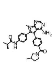 C=C(C)C(=O)Nc1ccc(-c2c(-c3ccc(C(=O)N4CCC(C)C4)cc3)c3c(N)ncnc3n2C)cc1